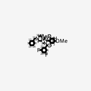 COc1ccc(CN(C[C@@H]2CN(Cc3ccccc3)CCN2C(=O)O)C(=O)c2cc(F)cc(F)c2)c(OC)c1